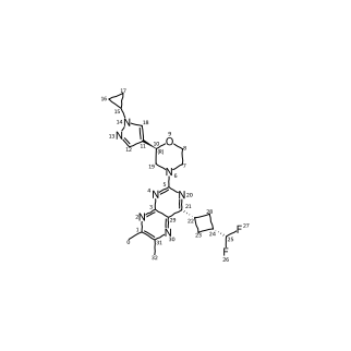 Cc1nc2nc(N3CCO[C@H](c4cnn(C5CC5)c4)C3)nc([C@H]3C[C@@H](C(F)F)C3)c2nc1C